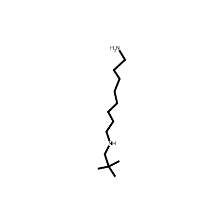 CC(C)(C)CNCCCCCCCCN